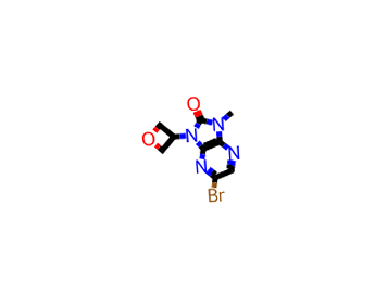 Cn1c(=O)n(C2COC2)c2nc(Br)cnc21